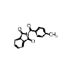 Cc1ccc(C(=O)N2C(=O)c3ccccc3C2=O)cc1